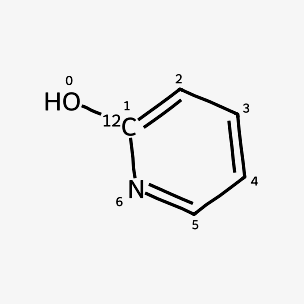 O[12c]1ccccn1